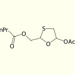 CCCC(=O)OCC1OC(OC(C)=O)CS1